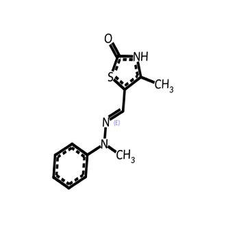 Cc1[nH]c(=O)sc1/C=N/N(C)c1ccccc1